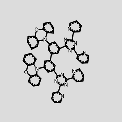 c1ccc(-c2nc(-c3cc(-c4cc(-c5nc(-c6ccccn6)nc(-c6ccccn6)n5)cc(N5c6ccccc6Oc6ccccc65)c4)cc(N4c5ccccc5Oc5ccccc54)c3)nc(-c3ccccn3)n2)nc1